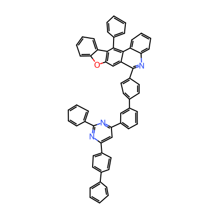 c1ccc(-c2ccc(-c3cc(-c4cccc(-c5ccc(-c6nc7ccccc7c7c(-c8ccccc8)c8c(cc67)oc6ccccc68)cc5)c4)nc(-c4ccccc4)n3)cc2)cc1